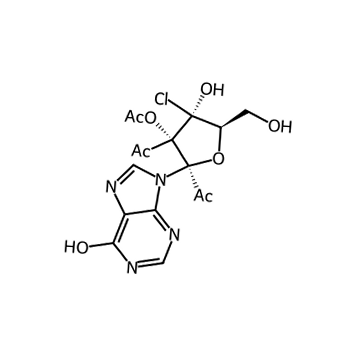 CC(=O)O[C@]1(C(C)=O)[C@@](O)(Cl)[C@@H](CO)O[C@@]1(C(C)=O)n1cnc2c(O)ncnc21